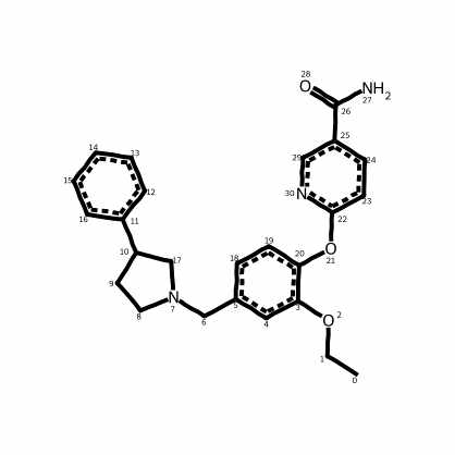 CCOc1cc(CN2CCC(c3ccccc3)C2)ccc1Oc1ccc(C(N)=O)cn1